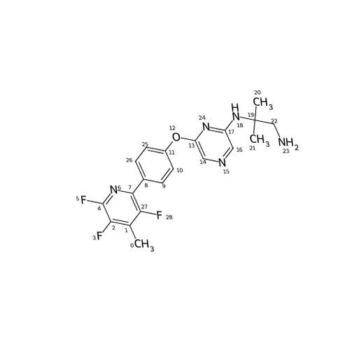 Cc1c(F)c(F)nc(-c2ccc(Oc3cncc(NC(C)(C)CN)n3)cc2)c1F